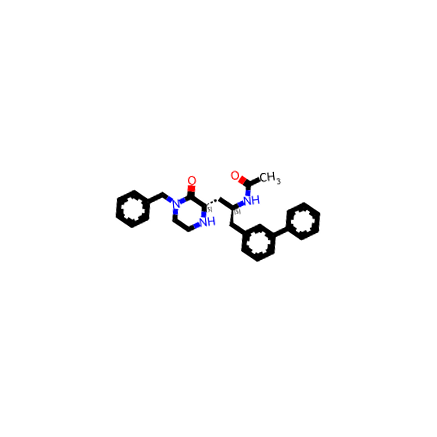 CC(=O)N[C@@H](Cc1cccc(-c2ccccc2)c1)C[C@@H]1NCCN(Cc2ccccc2)C1=O